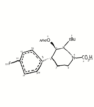 CO[C@H]1C(C(C)(C)C)N(C(=O)O)CC[C@@H]1c1ccc(F)cc1